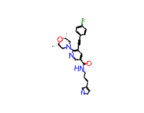 C[C@@H]1CN(c2ncc(C(=O)NC/C=C/C3=CCN=C3)cc2C#Cc2ccc(F)cc2)C[C@H](C)O1